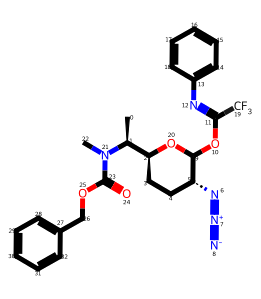 C[C@@H]([C@@H]1CC[C@@H](N=[N+]=[N-])C(OC(=Nc2ccccc2)C(F)(F)F)O1)N(C)C(=O)OCc1ccccc1